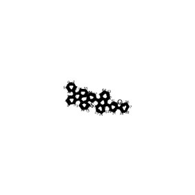 c1ccc(-c2c3ccccc3c(-c3cccc4sc5c(-c6c7ccccc7c(-c7ccc8c(c7)oc7ccccc78)c7ccccc67)cccc5c34)c3ccccc23)cc1